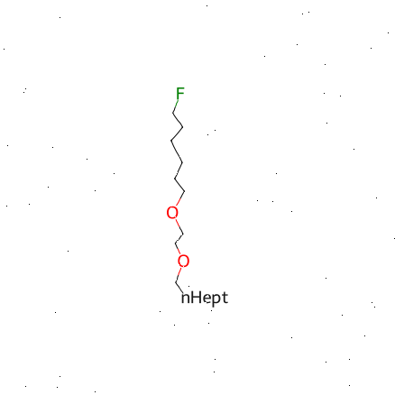 CCCCCCCCOCCOCCCCCCF